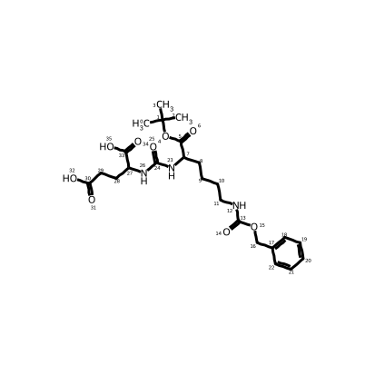 CC(C)(C)OC(=O)C(CCCCNC(=O)OCc1ccccc1)NC(=O)NC(CCC(=O)O)C(=O)O